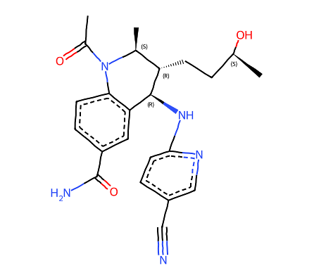 CC(=O)N1c2ccc(C(N)=O)cc2[C@H](Nc2ccc(C#N)cn2)[C@@H](CC[C@H](C)O)[C@@H]1C